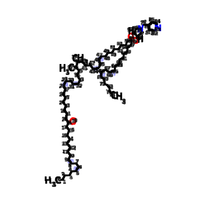 CCCCC/C=C\C/C=C\CCCCCCCCC(=O)CCCCCCCC/C=C\C/C=C\CCCC(C)C(C)CCC/C=C\C/C=C\CCCCCCCCC1(CCCCCCCC/C=C\C/C=C\CCCCC)O[C@H]2CN(Cc3ccncc3)C[C@@H]2O1